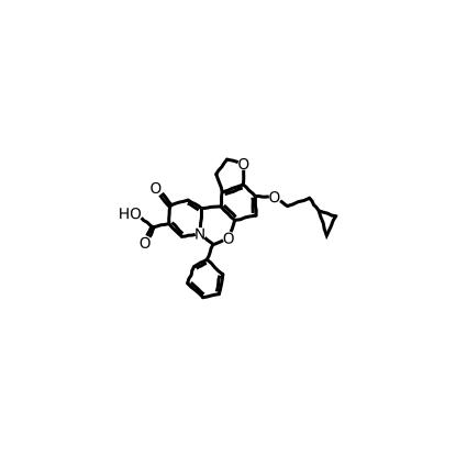 O=C(O)c1cn2c(cc1=O)-c1c(cc(OCCC3CC3)c3c1CCO3)OC2c1ccccc1